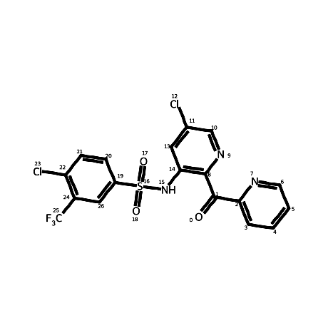 O=C(c1ccccn1)c1ncc(Cl)cc1NS(=O)(=O)c1ccc(Cl)c(C(F)(F)F)c1